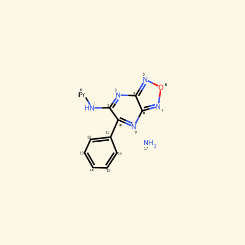 CC(C)Nc1nc2nonc2nc1-c1ccccc1.N